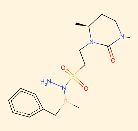 CB(Cc1ccccc1)N(N)S(=O)(=O)CCN1C(=O)N(C)CC[C@@H]1C